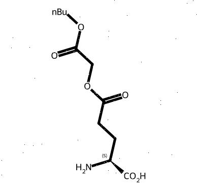 CCCCOC(=O)COC(=O)CC[C@H](N)C(=O)O